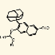 CCOC(OC)Oc1cc2ccc(C=O)cc2cc1C12CC3CC(CC(C3)C1)C2